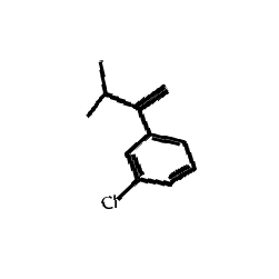 C=C(c1cccc(Cl)c1)C(C)C